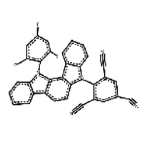 N#Cc1cc(C#N)c(-n2c3ccccc3c3c2ccc2c4ccccc4n(-c4c(F)cc(F)cc4F)c23)c(C#N)c1